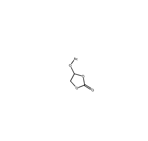 CC(=O)OC1COC(=O)O1